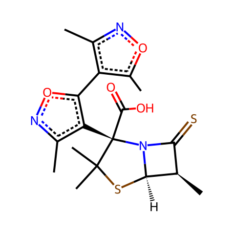 Cc1noc(C)c1-c1onc(C)c1[C@@]1(C(=O)O)N2C(=S)[C@@H](C)[C@H]2SC1(C)C